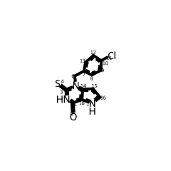 O=c1[nH]c(=S)n(Cc2ccc(Cl)cc2)c2cc[nH]c12